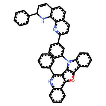 C1=CC(c2ccccc2)Nc2c1ccc1ccc(-c3cccc(-n4c5ccccc5c5oc6c7ccccc7nc(-c7ccccc7)c6c54)c3)nc21